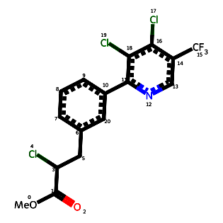 COC(=O)C(Cl)Cc1cccc(-c2ncc(C(F)(F)F)c(Cl)c2Cl)c1